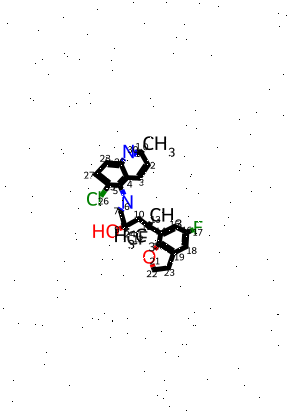 Cc1ccc2c(N=CC(O)(CC(C)(C)c3cc(F)cc4c3OCC4)C(F)(F)F)c(Cl)ccc2n1